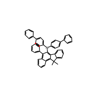 CC1(C)c2ccccc2-c2c(N(c3ccc(-c4ccccc4)cc3)c3ccc(-c4ccccc4)cc3)c(-c3ccccc3)c3ccccc3c21